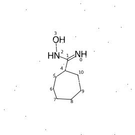 N=C(NO)C1CCCCCC1